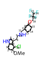 COc1ccc2[nH]cc(CCNCc3cccc(OCC(F)(F)C(F)F)c3)c2c1Cl